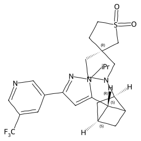 CC(C)n1nc(-c2cncc(C(F)(F)F)c2)cc1[C@@H]1C2C[C@H]1C[C@H]2N1CC[C@@]2(CCS(=O)(=O)C2)C1